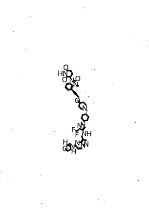 Cn1c(=O)n(C2CCC(=O)NC2=O)c2cccc(C#CCOC3CCN(C[C@H]4CC[C@H](n5cc(NCc6cnn7ccc(N8C[C@H]9C[C@@H]8CO9)nc67)c(C(F)F)n5)CC4)CC3)c21